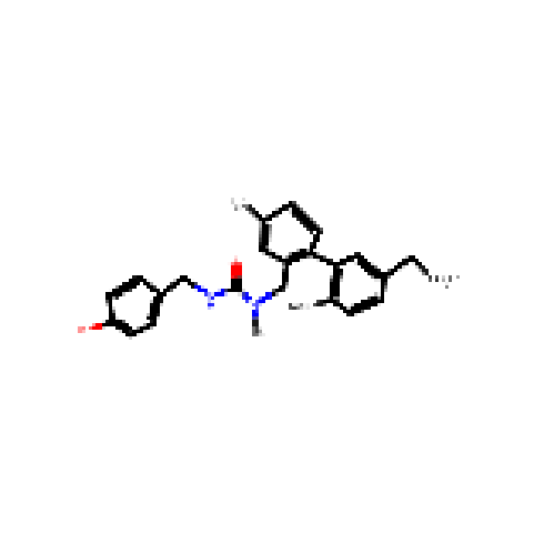 CCOC(=O)Cc1ccc(OC)c(-c2ccc(C(F)(F)F)cc2CN(CC)C(=O)NCc2ccc(O)cc2)c1